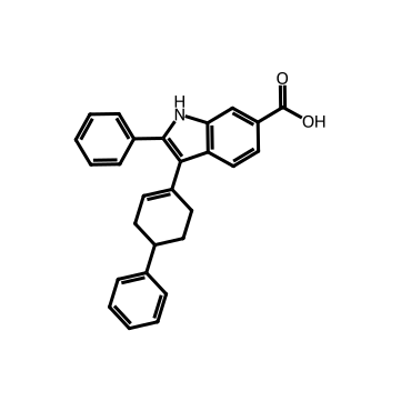 O=C(O)c1ccc2c(C3=CCC(c4ccccc4)CC3)c(-c3ccccc3)[nH]c2c1